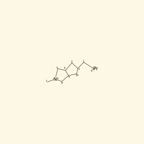 CC(C)CC1CC2CN(C)CC2C1